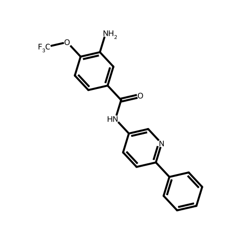 Nc1cc(C(=O)Nc2ccc(-c3ccccc3)nc2)ccc1OC(F)(F)F